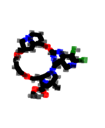 CC(C)(C)OC(=O)N1[C@H]2CC[C@@]13COCCCO[C@H]1CN4CCC[C@]4(COc4nc(c5cnc(Cl)c(F)c5n4)N(C2)C3)C1